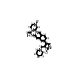 C=C(Nc1cc2cc(-c3cnn(C)c3CN3CCCCC3)ccc2cn1)N1CCN(C)CC1